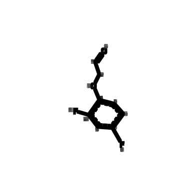 O=CCOc1ccc(F)cc1F